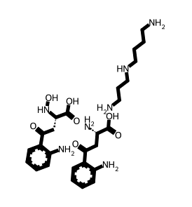 NCCCCNCCCN.Nc1ccccc1C(=O)C[C@H](N)C(=O)O.Nc1ccccc1C(=O)C[C@H](NO)C(=O)O